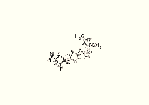 Cc1cc([C@@H]2CCCN2Cc2ccc(Oc3ccc(C(N)=O)cc3F)cc2)n(C)n1